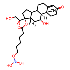 C[C@]12CCC(=O)C=C1CCC1C3CC[C@](OC(=O)CCCCCON(O)O)(C(=O)CO)[C@@]3(C)C[C@H](O)[C@@H]12